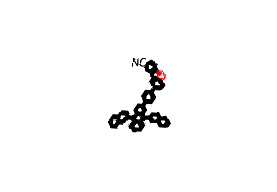 N#Cc1ccc2oc3ccc(-c4ccc(-c5ccc6c(-c7ccc8ccccc8c7)c7ccccc7c(-c7ccc8ccccc8c7)c6c5)cc4)cc3c2c1